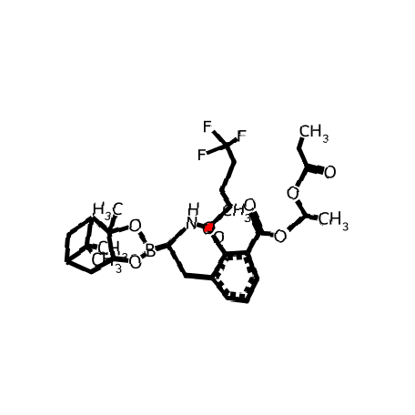 CCC(=O)OC(C)OC(=O)c1cccc(CC(NC(=O)CCCC(F)(F)F)B2OC3CC4CC(C4(C)C)C3(C)O2)c1OC